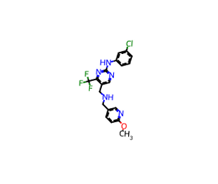 COc1ccc(CNCc2cnc(Nc3cccc(Cl)c3)nc2C(F)(F)F)cn1